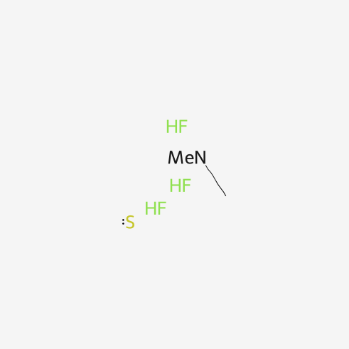 CNC.F.F.F.[S]